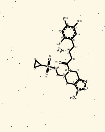 Cn1nnc2c1C[C@@H](CNS(=O)(=O)C1CC1)N(C(=O)C[C@H](N)Cc1cc(F)c(F)cc1F)C2